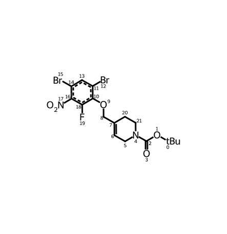 CC(C)(C)OC(=O)N1CC=C(COc2c(Br)cc(Br)c([N+](=O)[O-])c2F)CC1